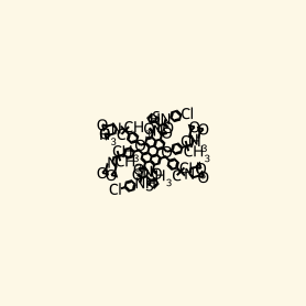 CC(C)(CN(CC1CO1)CC1CO1)c1ccc(Cc2cc3c4c(cc(Cc5ccc(C(C)(C)CN(CC6CO6)CC6CO6)cc5)c5c6c(Oc7ccc(C(C)(C)CN(CC8CO8)CC8CO8)cc7)cc7c8c(cc(Oc9ccc(C(C)(C)CN(CC%10CO%10)CC%10CO%10)cc9)c(c2c45)c86)C(=O)N(C(C(=O)Nc2ccc(Cl)cc2)c2cccs2)C7=O)C(=O)N(C(C(=O)Nc2ccc(Cl)cc2)c2cccs2)C3=O)cc1